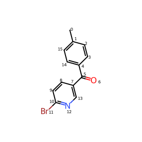 Cc1ccc(C(=O)c2ccc(Br)nc2)cc1